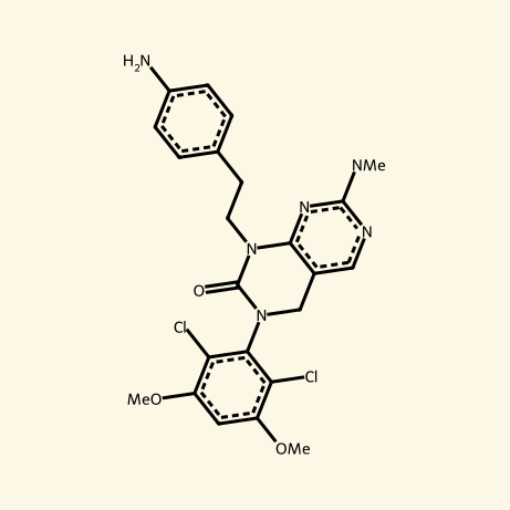 CNc1ncc2c(n1)N(CCc1ccc(N)cc1)C(=O)N(c1c(Cl)c(OC)cc(OC)c1Cl)C2